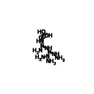 C[C@H](O)[C@@H](O)[C@H](C)OC(=O)CNCCN(CCN)CCNCCN(CCNCCN)CCN(CCN)CCN